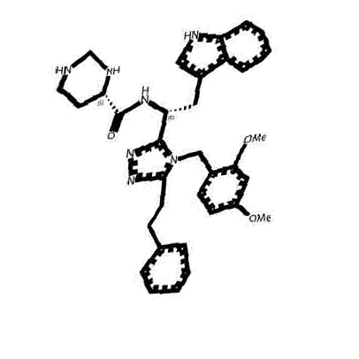 COc1ccc(Cn2c(CCc3ccccc3)nnc2[C@@H](Cc2c[nH]c3ccccc23)NC(=O)[C@@H]2CCNCN2)c(OC)c1